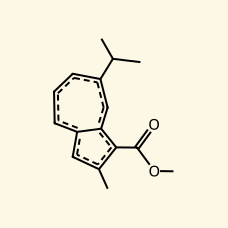 COC(=O)c1c(C)cc2cccc(C(C)C)cc1-2